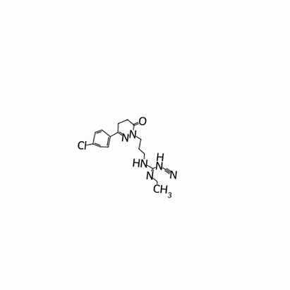 CC/N=C(\NC#N)NCCCN1N=C(c2ccc(Cl)cc2)CCC1=O